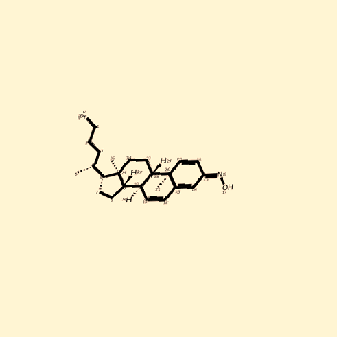 CC(C)CCC[C@@H](C)[C@H]1CC[C@H]2[C@@H]3C=CC4=CC(=NO)C=C[C@]4(C)[C@H]3CC[C@]12C